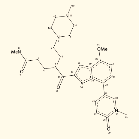 CNC(=O)CCN(CCN1CCN(C)CC1)C(=O)c1cc2c(OC)ccc(-c3ccc(=O)n(C)c3)c2s1